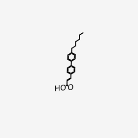 CCCCCCc1ccc(-c2ccc(C=CC(=O)O)cc2)cc1